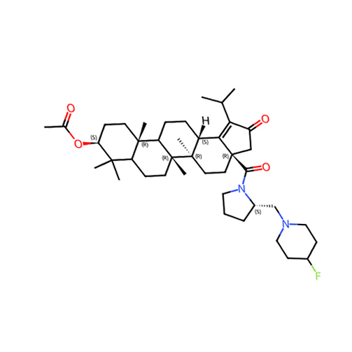 CC(=O)O[C@H]1CC[C@@]2(C)C(CC[C@]3(C)C2CC[C@@H]2C4=C(C(C)C)C(=O)C[C@]4(C(=O)N4CCC[C@H]4CN4CCC(F)CC4)CC[C@]23C)C1(C)C